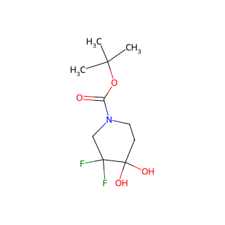 CC(C)(C)OC(=O)N1CCC(O)(O)C(F)(F)C1